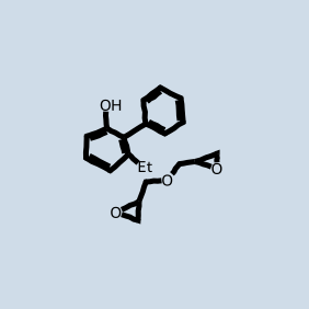 C(OCC1CO1)C1CO1.CCc1cccc(O)c1-c1ccccc1